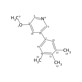 COc1cncc(-c2cc(C)c(C)c(C)c2)c1